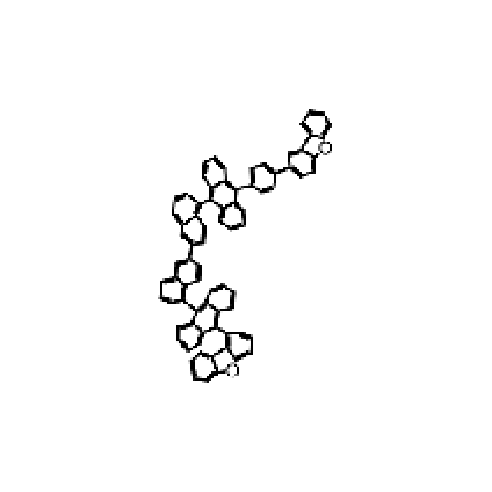 c1cc(-c2c3ccccc3c(-c3ccc(-c4ccc5oc6ccccc6c5c4)cc3)c3ccccc23)c2ccc(-c3ccc4c(-c5c6ccccc6c(-c6cccc7oc8ccccc8c67)c6ccccc56)cccc4c3)cc2c1